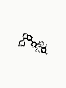 COc1ncc(-c2ccc3ncnc(N4CCNCC4)c3c2)cc1N(C)S(=O)(=O)c1ccc(F)cc1F